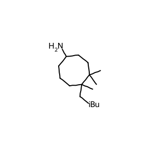 CCC(C)CC1(C)CCCC(N)CCC1(C)C